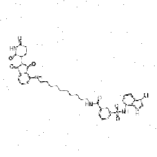 O=C1CCC(N2C(=O)c3cccc(NCCCCCCCCCCNC(=O)c4cccc(S(=O)(=O)Nc5cccc6c(Cl)c[nH]c56)c4)c3C2=O)C(=O)N1